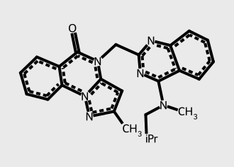 Cc1cc2n(Cc3nc(N(C)CC(C)C)c4ccccc4n3)c(=O)c3ccccc3n2n1